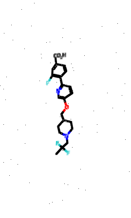 CC(F)(F)CN1CCC(COc2ccc(-c3ccc(C(=O)O)cc3F)nc2)CC1